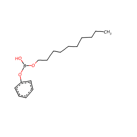 CCCCCCCCCCOB(O)Oc1ccccc1